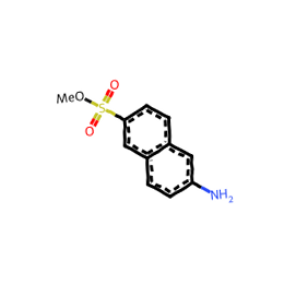 COS(=O)(=O)c1ccc2cc(N)ccc2c1